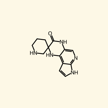 O=C1Nc2cnc3[nH]ccc3c2NC12CCCNC2